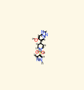 COc1cc2ncnn2cc1C1CCN(S(=O)(=O)c2cn(C)nc2C)CC1